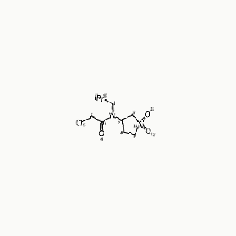 CC(C)CN(C(=O)CCl)C1CCS(=O)(=O)C1